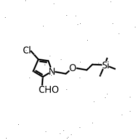 C[Si](C)(C)CCOCn1cc(Cl)cc1C=O